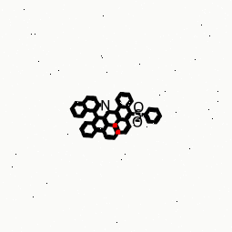 O=S(=O)(c1ccccc1)c1c2ccccc2c(-c2nc3ccc4ccccc4c3c3c4ccccc4c4ccccc4c23)c2ccccc12